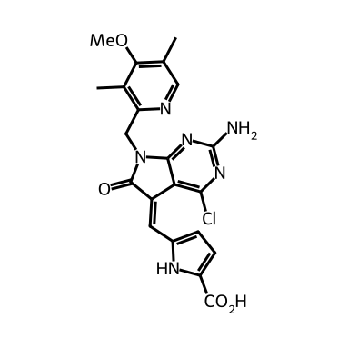 COc1c(C)cnc(CN2C(=O)/C(=C/c3ccc(C(=O)O)[nH]3)c3c(Cl)nc(N)nc32)c1C